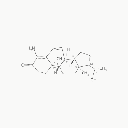 C[C@H](O)[C@H]1CC[C@H]2[C@@H]3C=CC4=C(N)C(=O)CC[C@]4(C)[C@H]3CC[C@]12C